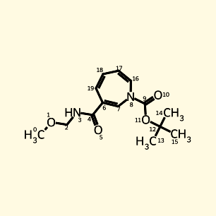 COCNC(=O)C1=CN(C(=O)OC(C)(C)C)C=CC=C1